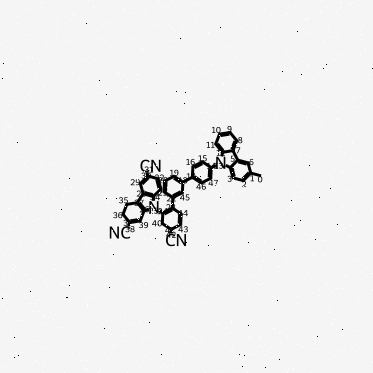 Cc1ccc2c(c1)c1ccccc1n2-c1ccc(-c2cccc(C3=C(n4c5c(c6cc(C#N)ccc64)CCC(C#N)=C5)CC(C#N)C=C3)c2)cc1